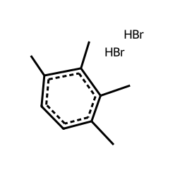 Br.Br.Cc1ccc(C)c(C)c1C